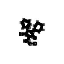 CCc1c(NC=O)c(=O)n(C2CCCCC2)n1-c1ccccc1